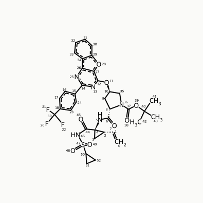 C=C[C@@H]1C[C@]1(NC(=O)[C@@H]1C[C@@H](Oc2nc(-c3ccc(C(F)(F)F)cc3)nc3c2oc2ccccc23)CN1C(=O)OC(C)(C)C)C(=O)NS(=O)(=O)C1CC1